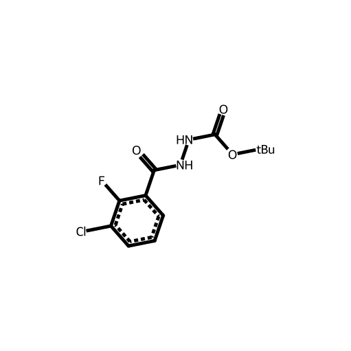 CC(C)(C)OC(=O)NNC(=O)c1cccc(Cl)c1F